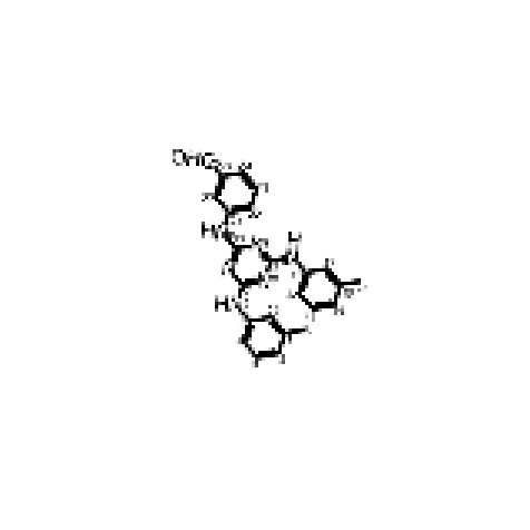 Cc1cccc(Nc2nc(Nc3cccc(C)c3)nc(Nc3cccc(C=O)c3)n2)c1